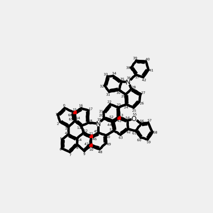 c1ccc(-c2cccc3cccc(-c4ccccc4N(c4ccc(-c5cccc6c5c5ccccc5n6-c5ccccc5)cc4)c4ccccc4-c4ccc5oc6ccccc6c5c4)c23)cc1